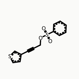 O=S(=O)(OCC#Cc1ccsc1)c1ccccc1